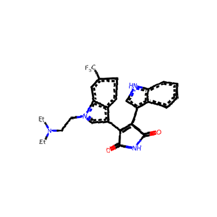 CCN(CC)CCn1cc(C2=C(c3c[nH]c4ccccc34)C(=O)NC2=O)c2ccc(C(F)(F)F)cc21